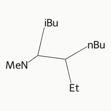 [CH2]C(CC)C(NC)C(CC)CCCC